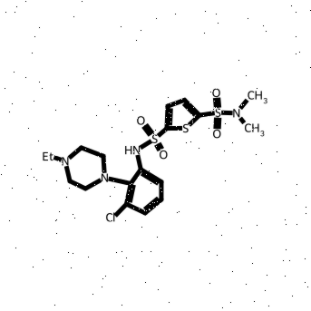 CCN1CCN(c2c(Cl)cccc2NS(=O)(=O)c2ccc(S(=O)(=O)N(C)C)s2)CC1